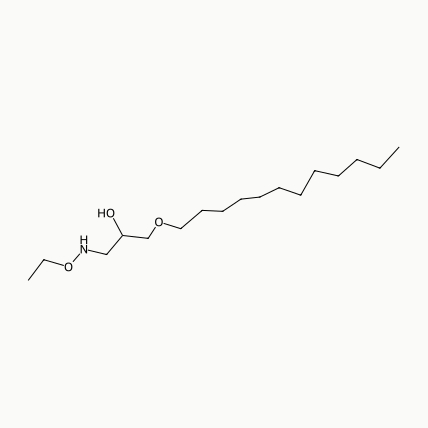 CCCCCCCCCCCCOCC(O)CNOCC